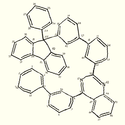 c1ccc(-c2cccc(-c3nc(-c4cccc(-c5cccc(C6(c7ccccc7)c7ccccc7-c7ccccc76)c5)c4)nc4ccccc34)c2)cc1